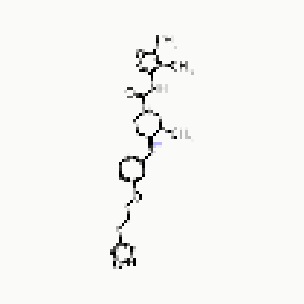 Cc1onc(NC(=O)N2CC/C(=C\c3cccc(OCCCc4cnoc4)c3)C(C)C2)c1C